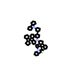 c1cc(-c2ccc(N(c3ccc4c(c3)C3(c5ccccc5-4)c4ccccc4-n4c5ccccc5c5cccc3c54)c3cccc4c3-c3ccccc3C43c4ccccc4-c4ccccc43)cc2)cc(-n2c3ccccc3c3ccccc32)c1